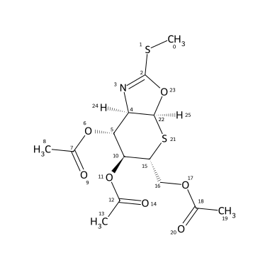 CSC1=N[C@@H]2[C@@H](OC(C)=O)[C@H](OC(C)=O)[C@@H](COC(C)=O)S[C@@H]2O1